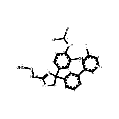 Cc1cc(C2(c3cccc(-c4cncc(F)c4)c3)COC(NOC=O)=N2)ccc1OC(F)F